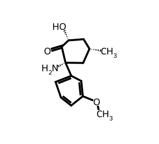 COc1cccc([C@]2(N)C[C@@H](C)C[C@@H](O)C2=O)c1